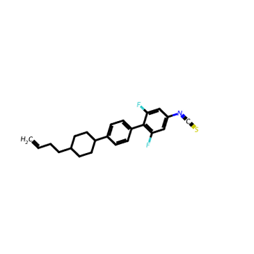 C=CCCC1CCC(c2ccc(-c3c(F)cc(N=C=S)cc3F)cc2)CC1